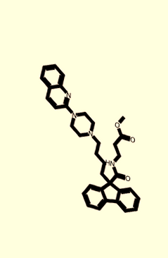 COC(=O)CCNC(=O)C1(CCCCN2CCN(c3ccc4ccccc4n3)CC2)c2ccccc2-c2ccccc21